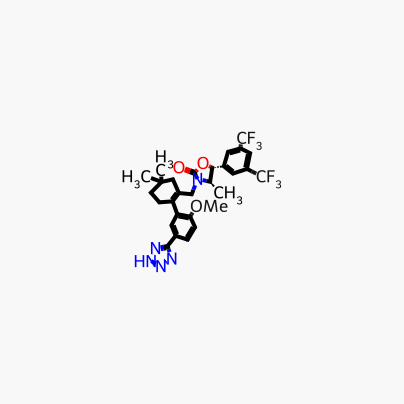 COc1ccc(-c2nn[nH]n2)cc1C1=C(CN2C(=O)O[C@H](c3cc(C(F)(F)F)cc(C(F)(F)F)c3)[C@@H]2C)CC(C)(C)CC1